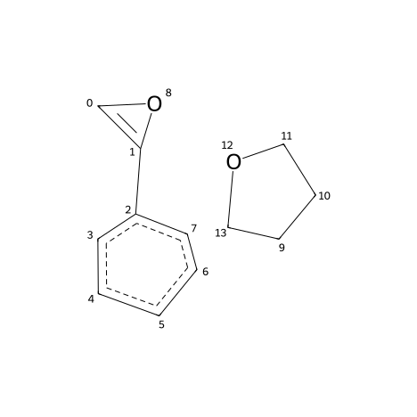 C1=C(c2ccccc2)O1.C1CCOC1